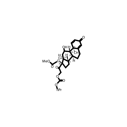 CCCOC(=O)OCC(=O)[C@@]1(OC(=O)OC)CC[C@H]2[C@@H]3CCC4=CC(=O)C=C[C@]4(C)[C@H]3C(O)C[C@@]21C